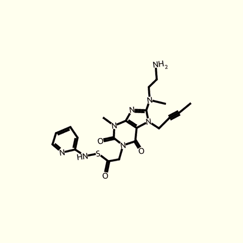 CC#CCn1c(N(C)CCN)nc2c1c(=O)n(CC(=O)SNc1ccccn1)c(=O)n2C